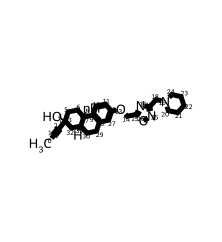 CC#C[C@@]1(O)CC[C@@]2(CCC)c3ccc(OCc4nc(CN5CCCCC5)no4)cc3CC[C@@H]2C1